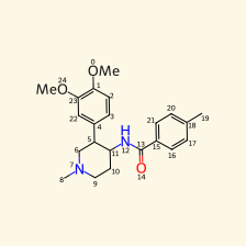 COc1ccc(C2CN(C)CCC2NC(=O)c2ccc(C)cc2)cc1OC